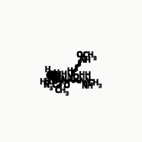 CNC(=N)NCCC[C@H](NC(=O)CCCCCNC(C)=O)C(=O)N[C@@H](CC(C)C)B1O[C@@H]2C[C@@H]3C[C@@H](C3(C)C)[C@]2(C)O1